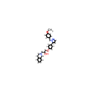 COc1ccc(Cn2nccc2-c2ccc(OC[C@@H](O)CN3CCc4ccccc4C3)cc2)cc1